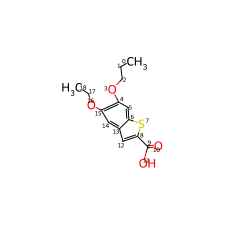 CCCOc1cc2sc(C(=O)O)cc2cc1OCC